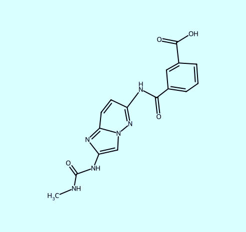 CNC(=O)Nc1cn2nc(NC(=O)c3cccc(C(=O)O)c3)ccc2n1